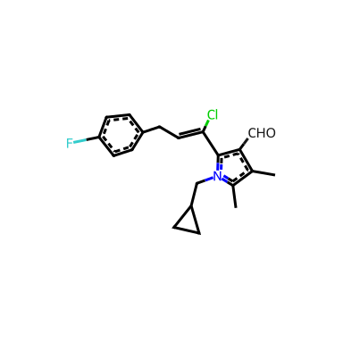 Cc1c(C=O)c(C(Cl)=CCc2ccc(F)cc2)n(CC2CC2)c1C